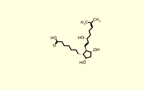 CC(C)=CCC[C@@H](O)C=C[C@@H]1[C@@H](CCCCCCC(=O)O)[C@@H](O)C[C@H]1O